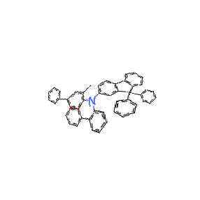 Cc1cc(-c2ccccc2)ccc1N(c1ccc2c(c1)C(c1ccccc1)(c1ccccc1)c1ccccc1-2)c1ccccc1-c1ccccc1